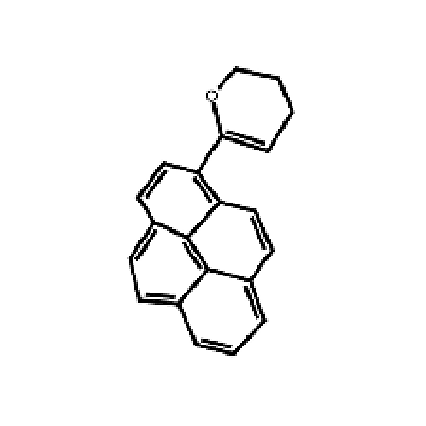 C1=C(c2ccc3ccc4cccc5ccc2c3c45)OCCC1